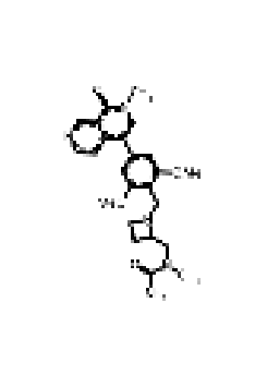 COc1cc(-c2cn(C)c(=O)c3cnccc23)cc(OC)c1CN1CCC1CN(C)C(=O)C(F)(F)F